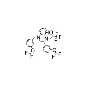 O[C@H](CN1c2ccccc2N(Cc2cccc(OC(F)F)c2)CC1c1cccc(OC(F)F)c1)C(F)(F)F